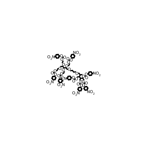 O=C(OCCOCC(OCCOC(=O)Oc1ccc([N+](=O)[O-])cc1)C(OCCOC(=O)Oc1ccc([N+](=O)[O-])cc1)C(COCCCCOCC(COC(=O)Oc1ccc([N+](=O)[O-])cc1)C(COC(=O)Oc1ccc([N+](=O)[O-])cc1)C(CCOC(=O)Oc1ccc([N+](=O)[O-])cc1)COC(=O)Oc1ccc([N+](=O)[O-])cc1)OCCOC(=O)Oc1ccc([N+](=O)[O-])cc1)Oc1ccc([N+](=O)[O-])cc1